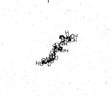 C[C@H](NC(=O)[C@@H](N)CC(=O)O)C(=O)NCC(=O)N[C@@H](C)C(=O)N1C[C@H](O)C[C@H]1C(=O)NCC(=O)N1CCC[C@H]1C(=O)N[C@@H](CO)C(=O)O